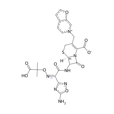 CC(C)(O/N=C(\C(=O)NC1C(=O)N2C(C(=O)[O-])=C(C[n+]3ccc4ccoc4c3)CS[C@H]12)c1noc(N)n1)C(=O)O